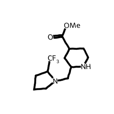 COC(=O)C1CCNC(CN2CCCC2C(F)(F)F)C1